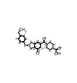 CCc1ccc(CN2Cc3cc(C(=O)C4CCN(C(=O)O)CC4)cc(Cl)c3C2)cc1